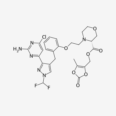 Cc1oc(=O)oc1COC(=O)[C@H]1COCCN1CCOc1ccccc1Cc1cn(C(F)F)nc1-c1cc(Cl)nc(N)n1